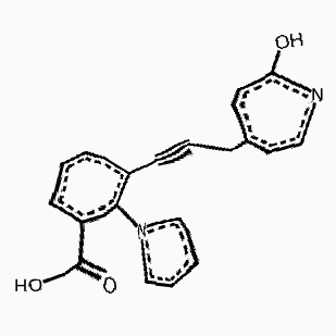 O=C(O)c1cccc(C#Cc2ccnc(O)c2)c1-n1cccc1